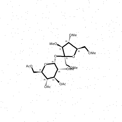 COC[C@H]1O[C@@](COC)(O[C@H]2O[C@H](COC(C)=O)[C@@H](OC(C)=O)[C@H](OC(C)=O)[C@H]2OC)[C@@H](OC)[C@@H]1OC